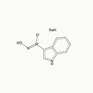 [NaH].[O-][N+](=NO)c1c[nH]c2ccccc12